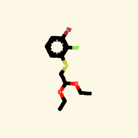 CCOC(CSc1cccc(Br)c1F)OCC